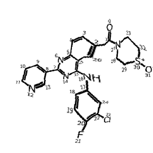 O=C(c1ccc2nc(-c3cccnc3)nc(Nc3ccc(F)c(Cl)c3)c2c1)N1CC[S+]([O-])CC1